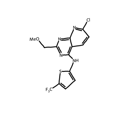 COCc1nc(Nc2ccc(C(F)(F)F)s2)c2ccc(Cl)nc2n1